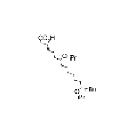 CCCCC(CCCCCCC(CC/C=C/CC(=O)O)OC(C)C)OC(C)C